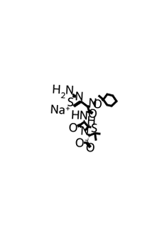 CC1(O/N=C(\C(=O)N[C@H]2C(=O)N3[C@@H]2SC(C)(C)[C@@H]3C(=O)[O-])c2csc(N)n2)CCCCC1.[Na+]